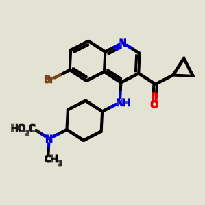 CN(C(=O)O)C1CCC(Nc2c(C(=O)C3CC3)cnc3ccc(Br)cc23)CC1